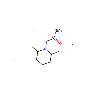 CC1CCCC(C)[15N]1C[13C](=O)N[13CH3]